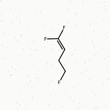 FCCC=C(F)F